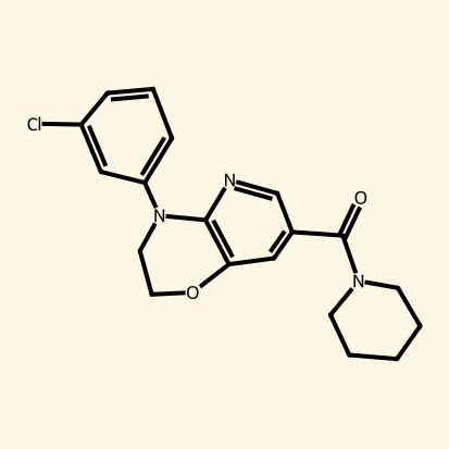 O=C(c1cnc2c(c1)OCCN2c1cccc(Cl)c1)N1CCCCC1